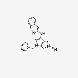 N#CN1Cc2c(Nc3cc4ccccc4cn3)nn(Cc3ccccc3)c2C1